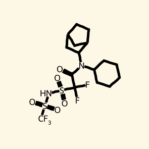 O=C(N(C1CCCCC1)C1CC2CCC1C2)C(F)(F)S(=O)(=O)NS(=O)(=O)C(F)(F)F